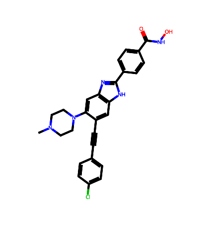 CN1CCN(c2cc3nc(-c4ccc(C(=O)NO)cc4)[nH]c3cc2C#Cc2ccc(Cl)cc2)CC1